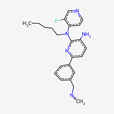 C=NCc1cccc(-c2ccc(N)c(N(CCCCC)c3ccncc3F)n2)c1